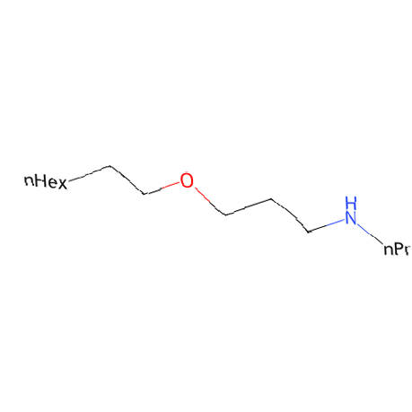 CCCCCCCCOCCCNCCC